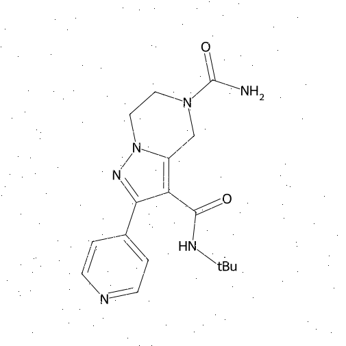 CC(C)(C)NC(=O)c1c(-c2ccncc2)nn2c1CN(C(N)=O)CC2